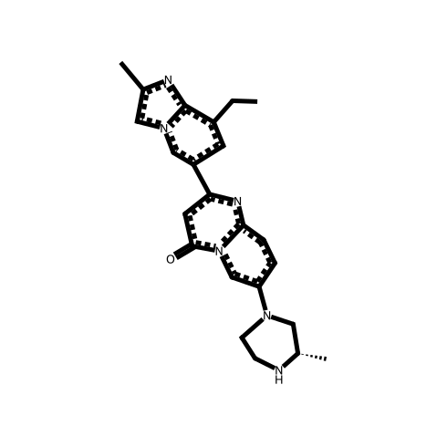 CCc1cc(-c2cc(=O)n3cc(N4CCN[C@@H](C)C4)ccc3n2)cn2cc(C)nc12